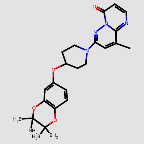 BC1(B)Oc2ccc(OC3CCN(c4cc(C)c5nccc(=O)n5n4)CC3)cc2OC1(B)B